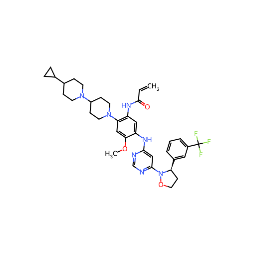 C=CC(=O)Nc1cc(Nc2cc(N3OCC[C@@H]3c3cccc(C(F)(F)F)c3)ncn2)c(OC)cc1N1CCC(N2CCC(C3CC3)CC2)CC1